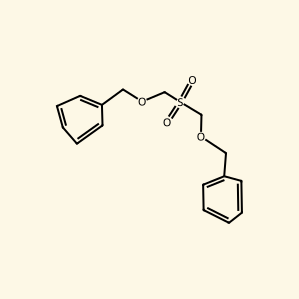 O=S(=O)(COCc1ccccc1)COCc1ccccc1